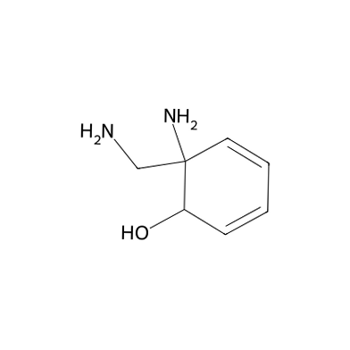 NCC1(N)C=CC=CC1O